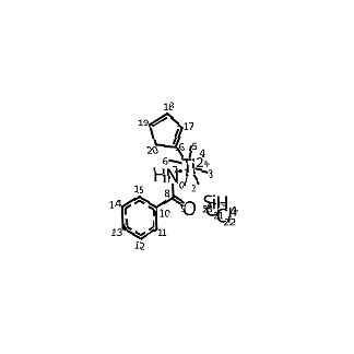 [CH3][Ti+2]([CH3])([CH3])([CH3])([CH3])([CH3])([NH]C(=O)c1ccccc1)[C]1=CC=CC1.[Cl-].[Cl-].[SiH4]